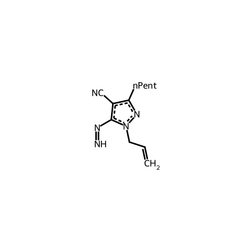 C=CCn1nc(CCCCC)c(C#N)c1N=N